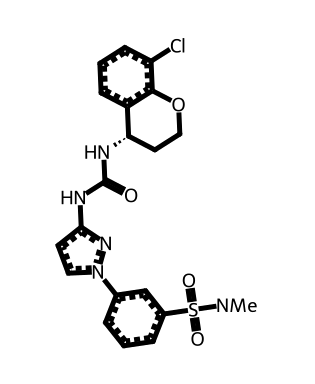 CNS(=O)(=O)c1cccc(-n2ccc(NC(=O)N[C@H]3CCOc4c(Cl)cccc43)n2)c1